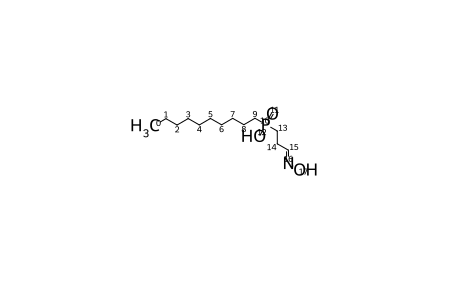 CCCCCCCCCCP(=O)(O)CCC=NO